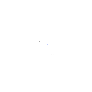 CC1(CC(=O)O)CC[C@@H](C(=O)O)N1